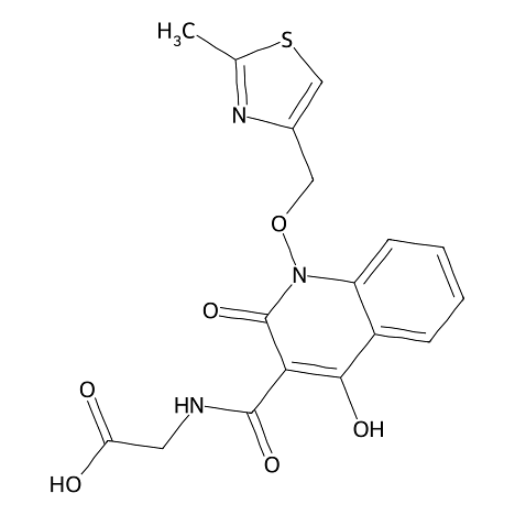 Cc1nc(COn2c(=O)c(C(=O)NCC(=O)O)c(O)c3ccccc32)cs1